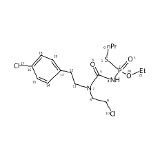 CCCSP(=O)(NC(=O)N(CCCl)CCc1ccc(Cl)cc1)OCC